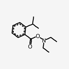 CCN(CC)OC(=O)c1ccccc1C(C)C